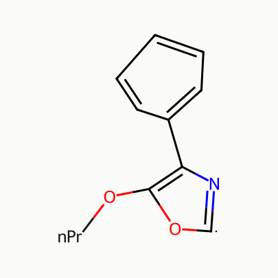 CCCOc1o[c]nc1-c1ccccc1